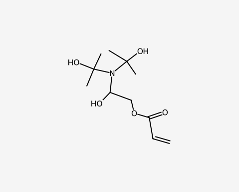 C=CC(=O)OCC(O)N(C(C)(C)O)C(C)(C)O